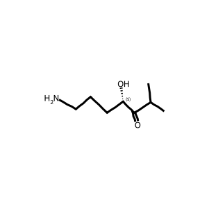 CC(C)C(=O)[C@@H](O)CCCN